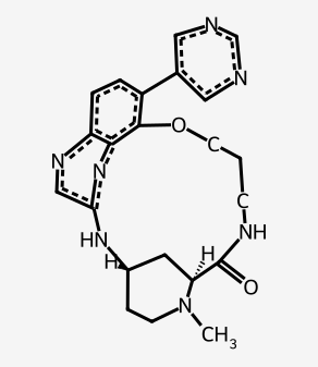 CN1CC[C@H]2C[C@H]1C(=O)NCCCOc1c(-c3cncnc3)ccc3ncc(nc13)N2